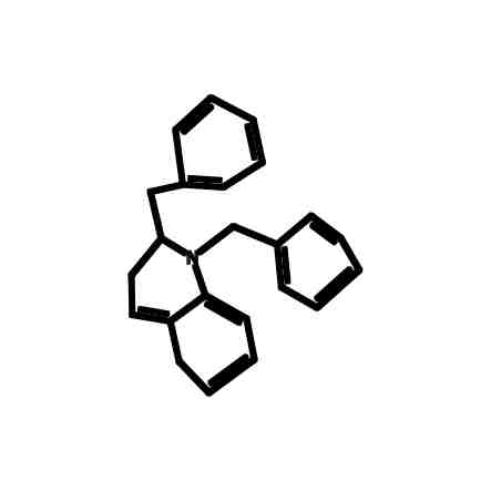 C1=CCC2=CCC(Cc3ccccc3)N(Cc3ccccc3)C2=C1